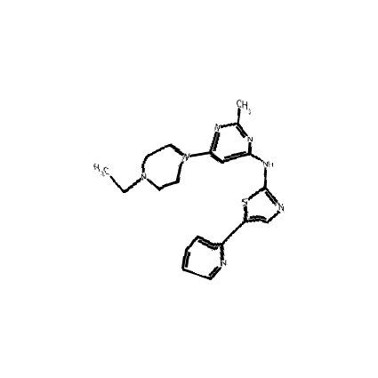 CCN1CCN(c2cc(Nc3ncc(-c4ccccn4)s3)nc(C)n2)CC1